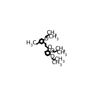 CCc1ccc(OCC(C)C)c(C=CC(=O)c2cccc(OCC(C)C)c2OCC(C)C)c1